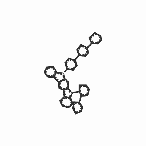 c1ccc(-c2ccc(-c3ccc(-n4c5ccccc5c5cc6c7ccccc7n(-c7ccccc7-c7ccccc7)c6cc54)cc3)cc2)cc1